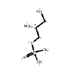 O=P(O)(O)SC[C@H](O)CO